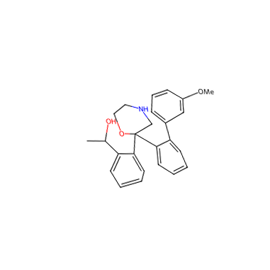 COc1cccc(-c2ccccc2C2(c3ccccc3C(C)O)CNCCO2)c1